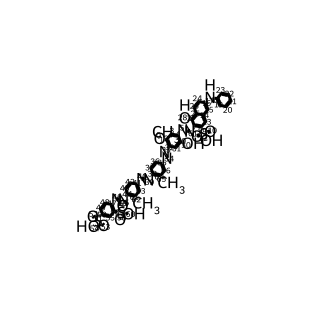 COc1cc(N=Nc2c(S(=O)(=O)O)cc3cc(Nc4ccccc4)ccc3c2O)c(O)cc1N=Nc1ccc(N=Nc2ccc(N=Nc3ccc(S(=O)(=O)O)cc3S(=O)(=O)O)c(C)c2)c(C)c1